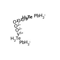 [O-2].[O-2].[O-2].[O-2].[O-2].[PbH2].[PbH2].[TeH2].[TeH2].[V+5].[V+5]